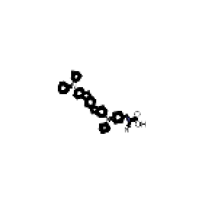 N#C/C(=C\c1ccc(N(c2ccccc2)c2ccc3c(c2)Cc2cc4c(cc2-3)Cc2cc(N(c3ccccc3)c3ccccc3)ccc2-4)cc1)C(=O)O